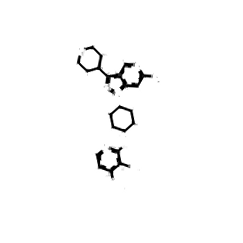 CCNc1cc2c(cn1)c(C1CCNCC1)nn2[C@H]1CC[C@@H](Oc2nccc(C(F)(F)F)c2F)CC1